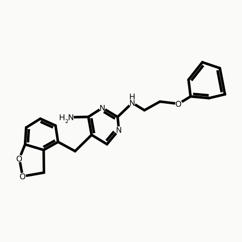 Nc1nc(NCCOc2ccccc2)ncc1Cc1cccc2c1COO2